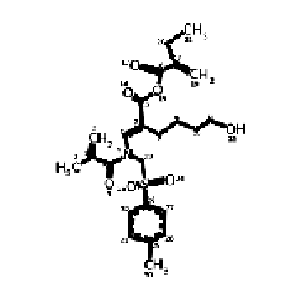 C=C(C)C(=O)N(C=C(CCCCO)C(=O)OC(=O)C(=C)CC)CS(=O)(=O)c1ccc(C)cc1